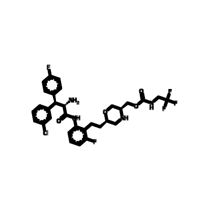 N[C@H](C(=O)Nc1cccc(F)c1CC[C@@H]1CN[C@H](COC(=O)NCC(F)(F)F)CO1)[C@H](c1ccc(F)cc1)c1cccc(Cl)c1